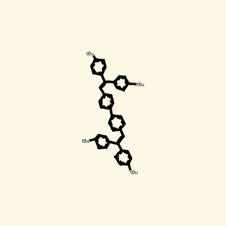 CC(C)(C)c1ccc(C(=Cc2ccc(-c3ccc(C=C(c4ccc(C(C)(C)C)cc4)c4ccc(C(C)(C)C)cc4)cc3)cc2)c2ccc(C(C)(C)C)cc2)cc1